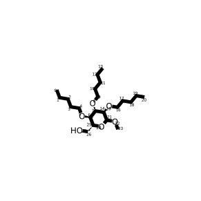 CCCCCO[C@H]1[C@H](OCCCCC)[C@@H](OCCCCC)C(OC)O[C@@H]1CO